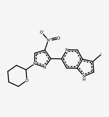 O=[N+]([O-])c1cn(C2CCCCO2)nc1-c1cc2[nH]cc(I)c2cn1